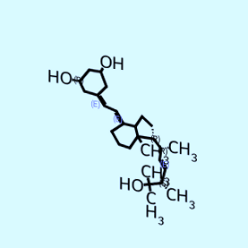 C[C@H](/C=C/[C@H](C)C(C)(C)O)[C@H]1CCC2/C(=C/C=C3\CC(O)C[C@H](O)C3)CCCC21C